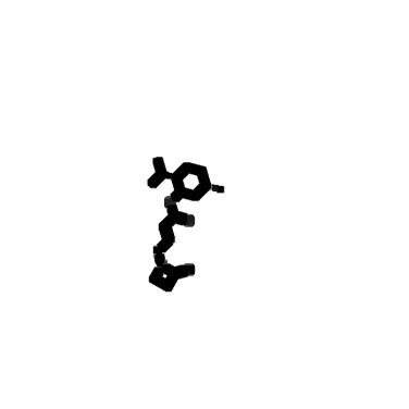 CC(C)[C@@H]1CC[C@H](C)CC1OC(=O)C=CSN1CCC1=O